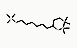 C[Si](C)(C)OCCCCCCC1CC[Si](C)(C)[Si](C)(C)O1